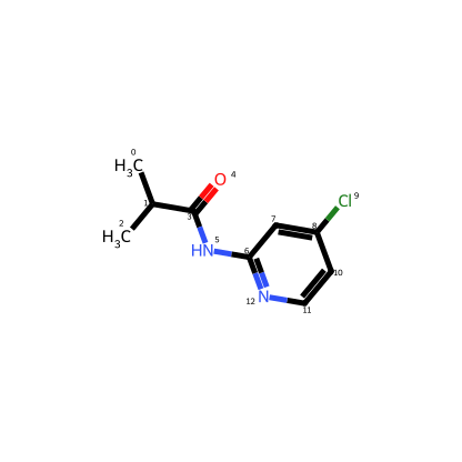 CC(C)C(=O)Nc1cc(Cl)ccn1